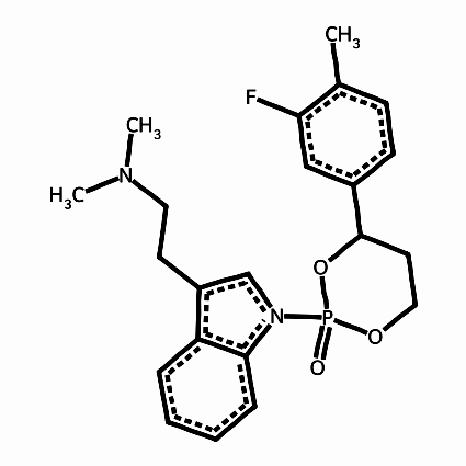 Cc1ccc(C2CCOP(=O)(n3cc(CCN(C)C)c4ccccc43)O2)cc1F